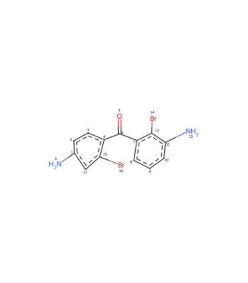 Nc1ccc(C(=O)c2cccc(N)c2Br)c(Br)c1